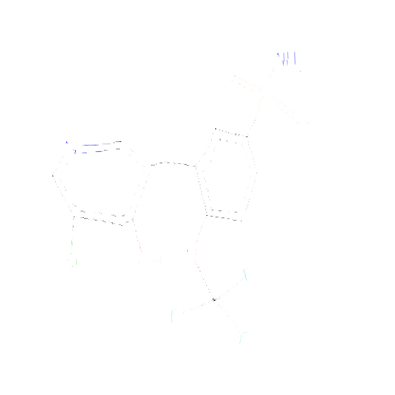 NS(=O)(=O)c1ccc(OC(F)(F)F)c(-c2cncc(Cl)c2O)c1